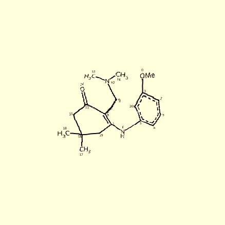 COc1cccc(NC2=C(CN(C)C)C(=O)CC(C)(C)C2)c1